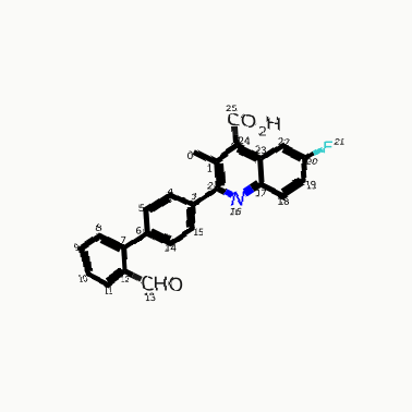 Cc1c(-c2ccc(-c3ccccc3C=O)cc2)nc2ccc(F)cc2c1C(=O)O